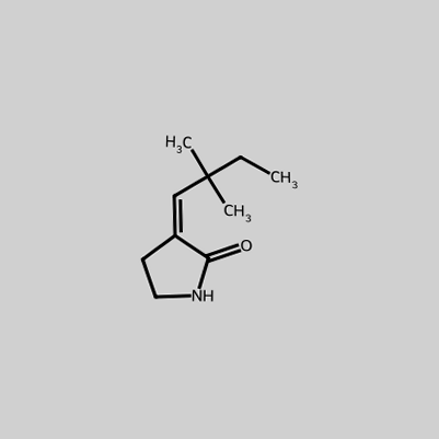 CCC(C)(C)/C=C1/CCNC1=O